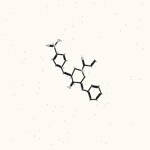 C=CC(=O)N1C/C(=C\c2ccccc2)C(=O)/C(=C/c2ccc([N+](=O)[O-])cc2)C1